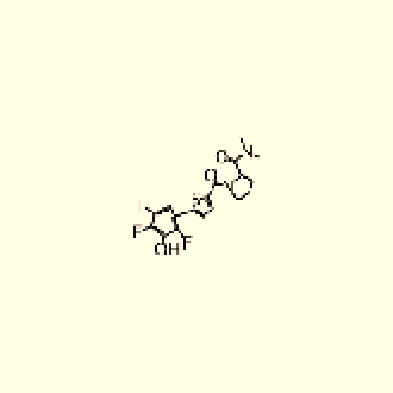 CN(C)C(=O)C1CCCN1C(=O)c1ccc(-c2cc(F)c(F)c(O)c2F)s1